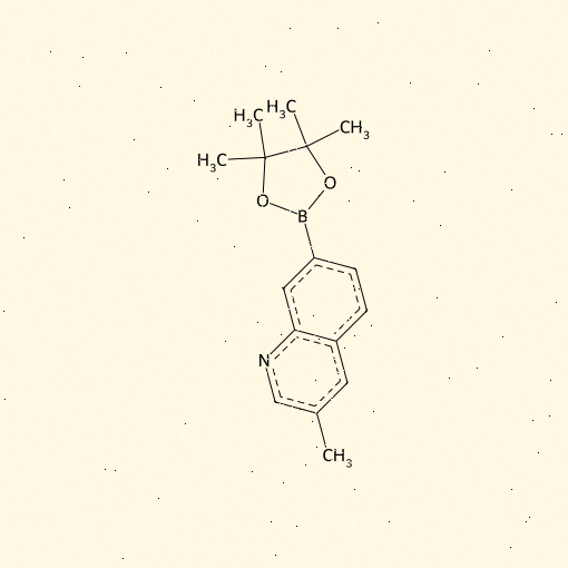 Cc1cnc2cc(B3OC(C)(C)C(C)(C)O3)ccc2c1